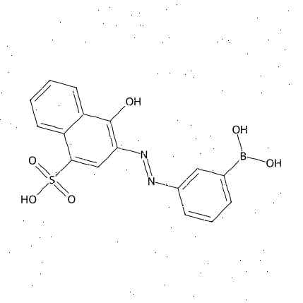 O=S(=O)(O)c1cc(/N=N/c2cccc(B(O)O)c2)c(O)c2ccccc12